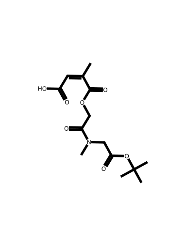 CC(=CC(=O)O)C(=O)OCC(=O)N(C)CC(=O)OC(C)(C)C